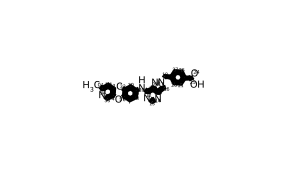 Cc1ccc(Oc2ccc(Nc3ncnc4cn(Cc5ccc(C(=O)O)cc5)nc34)cc2C)cn1